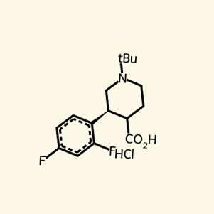 CC(C)(C)N1CCC(C(=O)O)[C@@H](c2ccc(F)cc2F)C1.Cl